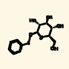 OC[C@H]1OC(OSc2ccccc2)[C@H](O)[C@@H](O)[C@@H]1O